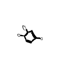 Clc1c[c]c(Cl)c(Cl)c1